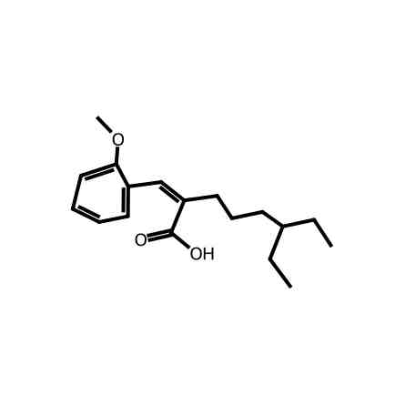 CCC(CC)CCCC(=Cc1ccccc1OC)C(=O)O